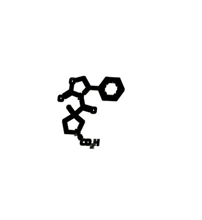 CC1(C(=O)N2C(=O)OCC2c2ccccc2)CCN(C(=O)O)C1